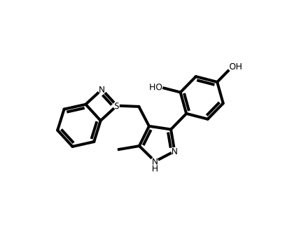 Cc1[nH]nc(-c2ccc(O)cc2O)c1CS1=Nc2ccccc21